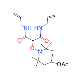 C=CCNC(=O)C(ON1C(C)(C)CC(OC(C)=O)CC1(C)C)C(=O)NCC=C